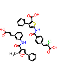 Cc1oc(-c2ccccc2)cc1C(=O)Nc1cccc(/C=C/C(=O)O)c1.O=C(O)/C(Cl)=C/c1ccc(C(=O)Nc2cc(-c3ccccc3)c(C(=O)O)s2)cc1